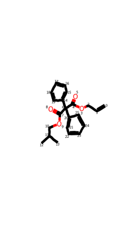 C=CCOC(=O)C(C(=O)OCC(C)C)(c1ccccc1)c1ccccc1